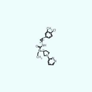 CCN(C(=O)N[C@@H]1C[C@H]1c1ccc(Cl)c(C)c1)[C@H]1CCN(c2cccnn2)C1